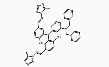 Cc1nnnn1N=Cc1ccc(O)c(C(c2cccc(N(Cc3ccccc3)Cc3ccccc3)c2)c2cc(C=Nn3nnnc3C)ccc2O)c1